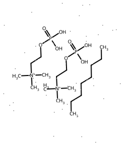 CCCCCCCC.C[N+](C)(C)CCOP(=O)(O)O.C[N+](C)(C)CCOP(=O)(O)O